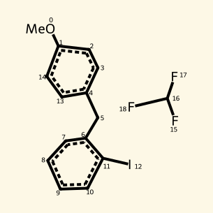 COc1ccc(Cc2ccccc2I)cc1.FC(F)F